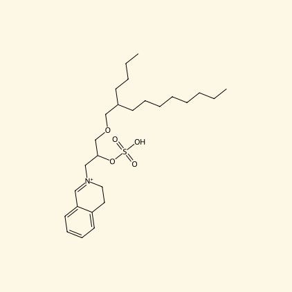 CCCCCCCCC(CCCC)COCC(C[N+]1=Cc2ccccc2CC1)OS(=O)(=O)O